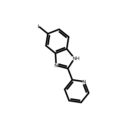 Ic1ccc2[nH]c(-c3ccccn3)nc2c1